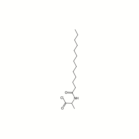 CCCCCCCCCCCCC(=O)NC(C)C(=O)Cl